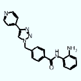 Nc1ccccc1NC(=O)c1ccc(Cn2cc(-c3ccncc3)nn2)cc1